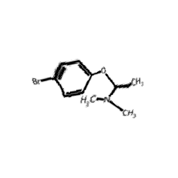 CC(Oc1ccc(Br)cc1)N(C)C